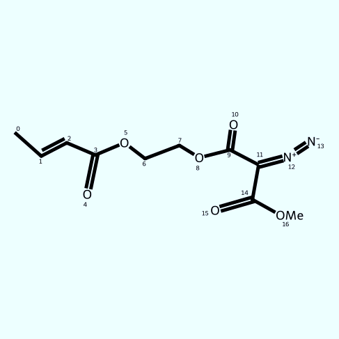 CC=CC(=O)OCCOC(=O)C(=[N+]=[N-])C(=O)OC